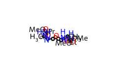 CC[C@@H](OC)[C@H](NC(=O)OC)C(=O)N1[C@@H](C)CC[C@H]1c1nc2ccc3cc4c(cc3c2[nH]1)OCc1cc(-c2cnc([C@@H]3C[C@H](C)CN3C(=O)[C@@H](NC(=O)OC)C(C)C)[nH]2)ccc1-4